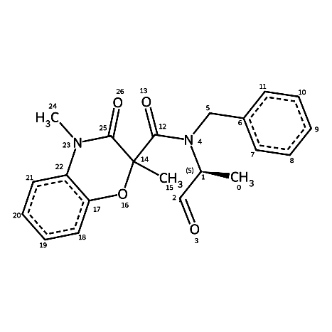 C[C@@H]([C]=O)N(Cc1ccccc1)C(=O)C1(C)Oc2ccccc2N(C)C1=O